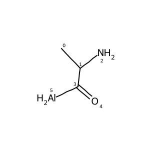 CC(N)[C](=O)[AlH2]